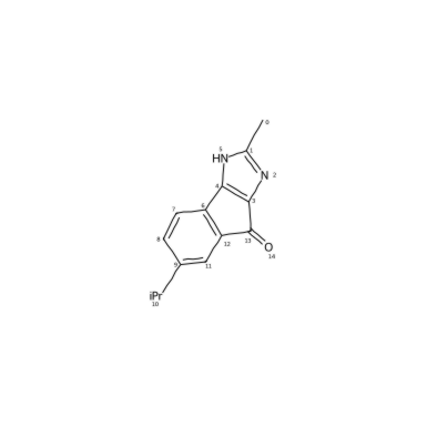 Cc1nc2c([nH]1)-c1ccc(C(C)C)cc1C2=O